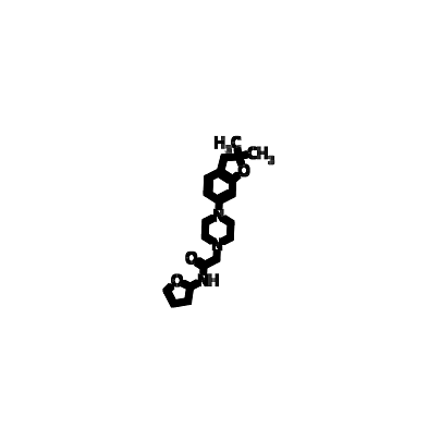 CC1(C)Cc2ccc(N3CCN(CC(=O)NC4CCCO4)CC3)cc2O1